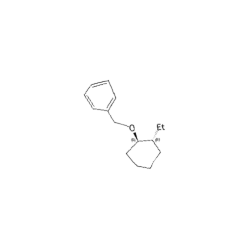 CC[C@@H]1CCCC[C@H]1OCc1ccccc1